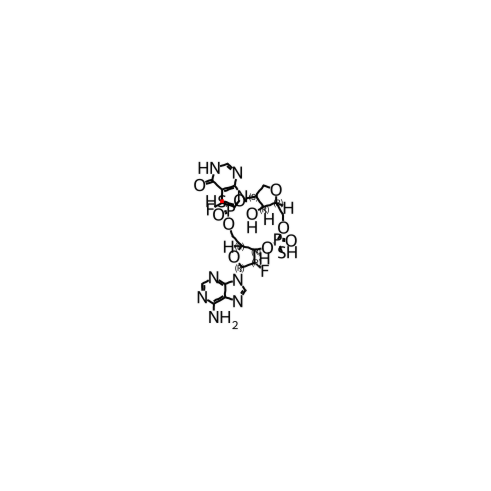 Nc1ncnc2c1ncn2[C@@H]1O[C@@H]2COP(=O)(S)O[C@@]3(n4cc(F)c5c(=O)[nH]cnc54)CO[C@H](COP(=O)(S)O[C@H]2[C@H]1F)[C@H]3O